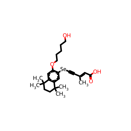 C/C(C#C[Se]c1cc2c(cc1OCCCCCO)C(C)(C)CCC2(C)C)=C\C(=O)O